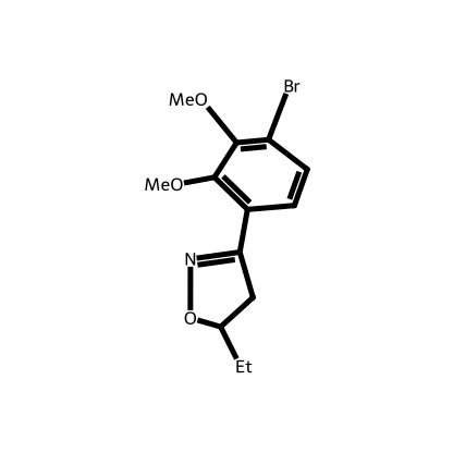 CCC1CC(c2ccc(Br)c(OC)c2OC)=NO1